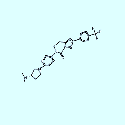 CN(C)[C@H]1CCN(c2ccc(N3CCc4cc(-c5ccc(C(F)(F)F)cc5)sc4C3=O)cn2)C1